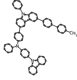 Cc1ccc(-c2ccc(-c3ccc4c(c3)c3cc(-c5ccc(N(c6ccccc6)c6ccc(-n7c8ccccc8c8ccccc87)cc6)cc5)ccc3n4-c3ccccc3)cc2)cc1